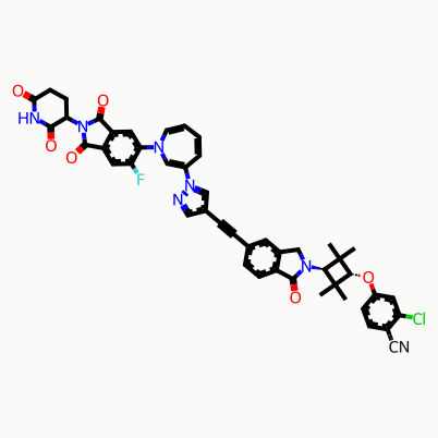 CC1(C)[C@H](Oc2ccc(C#N)c(Cl)c2)C(C)(C)[C@H]1N1Cc2cc(C#Cc3cnn(C4=CN(c5cc6c(cc5F)C(=O)N(C5CCC(=O)NC5=O)C6=O)C=CC=C4)c3)ccc2C1=O